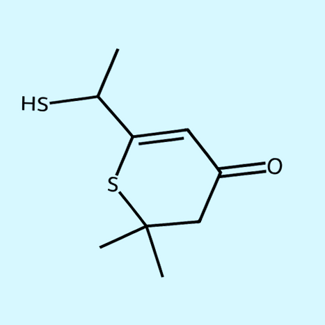 CC(S)C1=CC(=O)CC(C)(C)S1